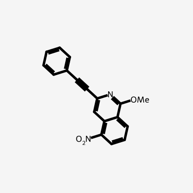 COc1nc(C#Cc2ccccc2)cc2c([N+](=O)[O-])cccc12